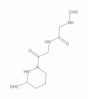 O=CNCC(=O)NCC(=O)N1CCCC(C=O)N1